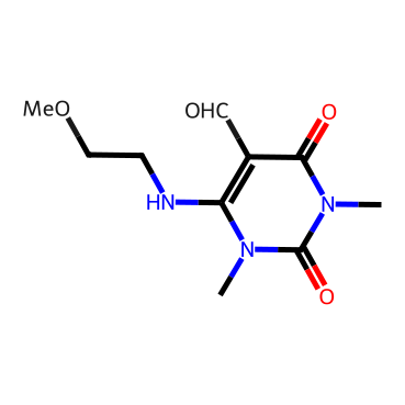 COCCNc1c(C=O)c(=O)n(C)c(=O)n1C